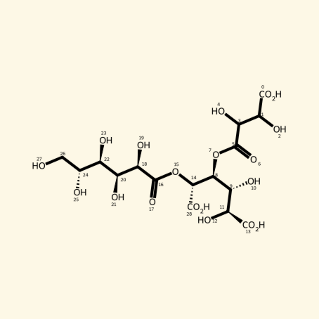 O=C(O)C(O)C(O)C(=O)O[C@@H]([C@H](O)[C@H](O)C(=O)O)[C@@H](OC(=O)[C@H](O)[C@@H](O)[C@H](O)[C@H](O)CO)C(=O)O